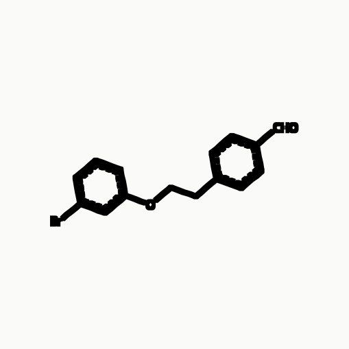 O=Cc1ccc(CCOc2cccc(Br)c2)cc1